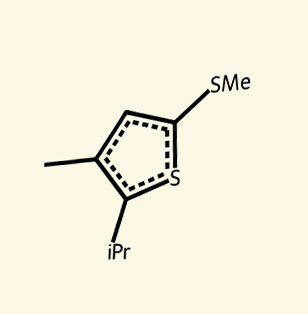 CSc1cc(C)c(C(C)C)s1